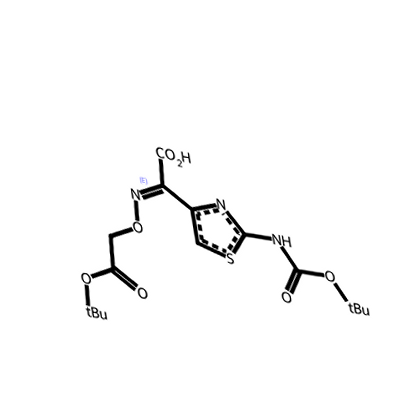 CC(C)(C)OC(=O)CO/N=C(/C(=O)O)c1csc(NC(=O)OC(C)(C)C)n1